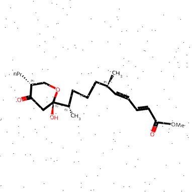 CCC[C@@H]1CO[C@](O)([C@@H](C)CCC[C@@H](C)/C=C/C=C/C(=O)OC)CC1=O